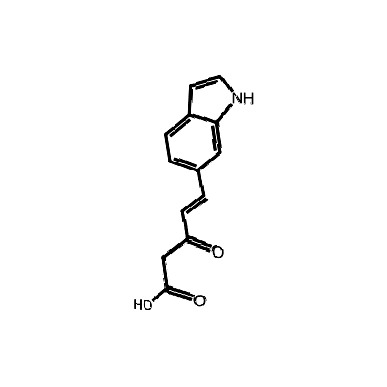 O=C(O)CC(=O)/C=C/c1ccc2cc[nH]c2c1